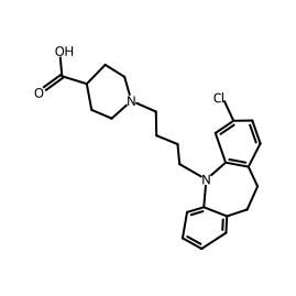 O=C(O)C1CCN(CCCCN2c3ccccc3CCc3ccc(Cl)cc32)CC1